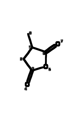 CC1CC(=O)OC1=O